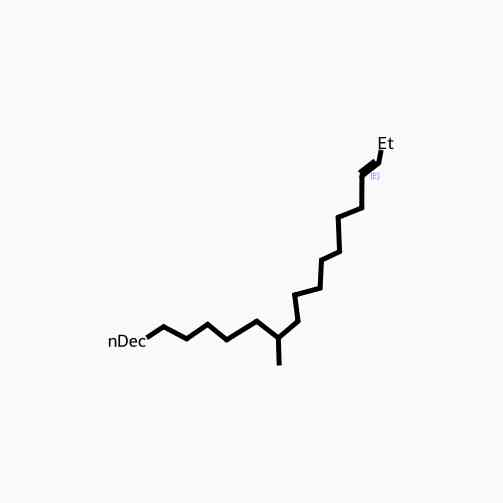 [CH2]C/C=C/CCCCCCCC(C)CCCCCCCCCCCCCC[CH2]